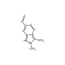 Cc1c2ccc(C=O)cc2nn1C